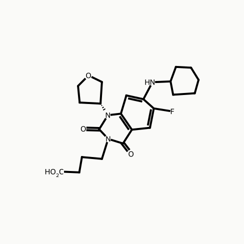 O=C(O)CCCn1c(=O)c2cc(F)c(NC3CCCCC3)cc2n([C@@H]2CCOC2)c1=O